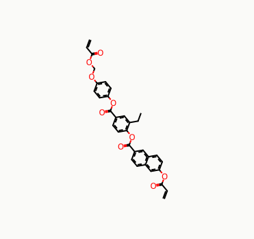 C=CC(=O)OCOc1ccc(OC(=O)c2ccc(OC(=O)c3ccc4cc(OC(=O)C=C)ccc4c3)c(CC)c2)cc1